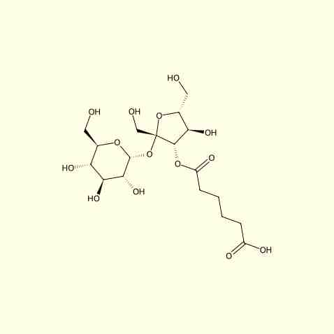 O=C(O)CCCCC(=O)O[C@H]1[C@H](O)[C@@H](CO)O[C@@]1(CO)O[C@H]1O[C@H](CO)[C@@H](O)[C@H](O)[C@H]1O